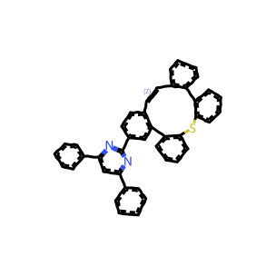 C1=C\c2ccc(-c3nc(-c4ccccc4)cc(-c4ccccc4)n3)cc2-c2ccccc2Sc2ccccc2-c2ccccc2/1